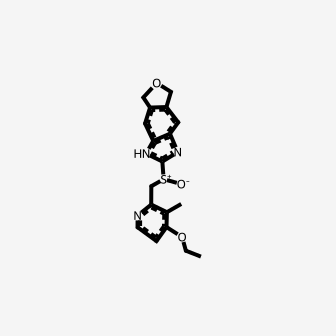 CCOc1ccnc(C[S+]([O-])c2nc3cc4c(cc3[nH]2)COC4)c1C